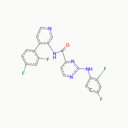 O=C(Nc1cnccc1-c1ccc(F)cc1F)c1ccnc(Nc2ccc(F)cc2F)n1